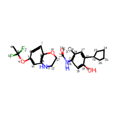 CC(F)(F)Oc1ccc2c(c1)NC[C@@H](C(=O)Nc1cc(O)c(C3CCCC3)cc1C(F)(F)F)O2